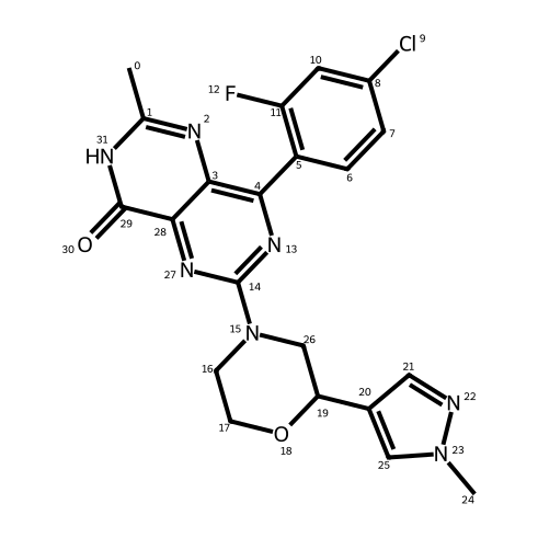 Cc1nc2c(-c3ccc(Cl)cc3F)nc(N3CCOC(c4cnn(C)c4)C3)nc2c(=O)[nH]1